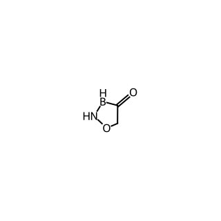 O=C1BNOC1